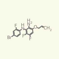 C=CCOc1cc(F)c(F)c(Nc2ccc(Br)cc2F)c1N